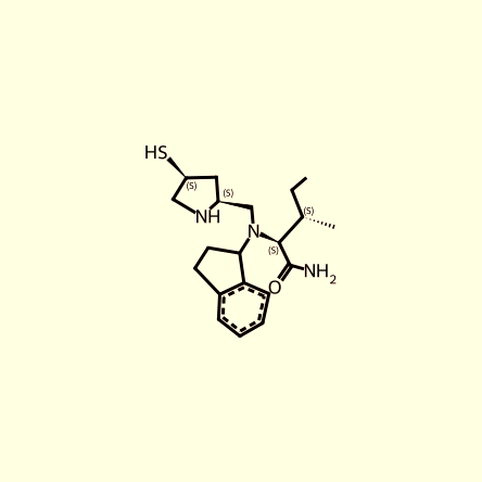 CC[C@H](C)[C@@H](C(N)=O)N(C[C@@H]1C[C@H](S)CN1)C1CCc2ccccc21